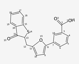 O=C(O)c1cccc(-c2ccc(CC3Sc4ccccc4C3=O)o2)c1